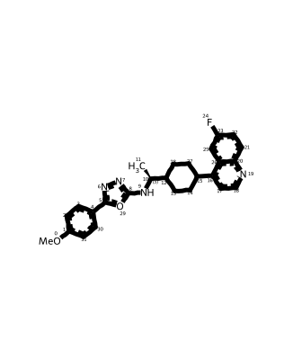 COc1ccc(-c2nnc(N[C@@H](C)C3CCC(c4ccnc5ccc(F)cc45)CC3)o2)cc1